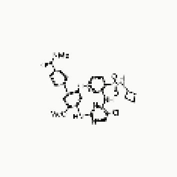 CNC(=O)c1ccc(-c2cc(OC)c(Nc3ncc(Cl)c(Nc4ccccc4S(=O)(=O)NC4CCC4)n3)cc2C)cc1